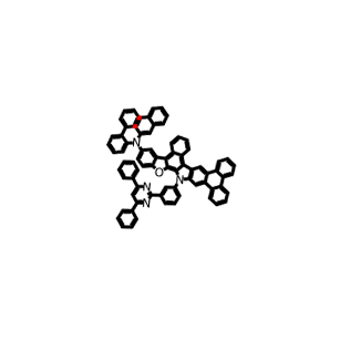 c1ccc(-c2cc(-c3ccccc3)nc(-c3cccc(-n4c5cc6c7ccccc7c7ccccc7c6cc5c5c6ccccc6c6c7cc(N(c8ccc9ccccc9c8)c8ccccc8-c8ccccc8)ccc7oc6c54)c3)n2)cc1